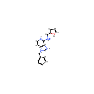 c1ccc(Cn2cnc3c(NCc4ccco4)nccc32)cc1